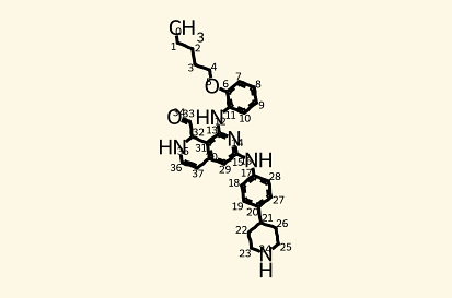 CCCCCOc1ccccc1Nc1nc(Nc2ccc(C3CCNCC3)cc2)cc2c1C(C=O)NC=C2